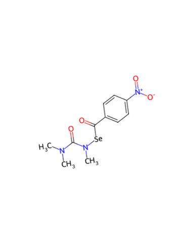 CN(C)C(=O)N(C)[Se]C(=O)c1ccc([N+](=O)[O-])cc1